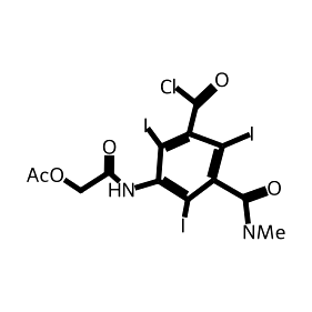 CNC(=O)c1c(I)c(NC(=O)COC(C)=O)c(I)c(C(=O)Cl)c1I